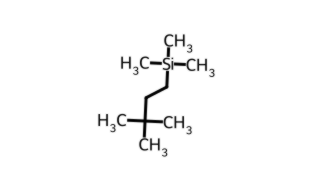 CC(C)(C)CC[Si](C)(C)C